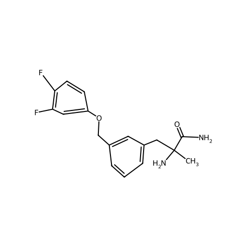 CC(N)(Cc1cccc(COc2ccc(F)c(F)c2)c1)C(N)=O